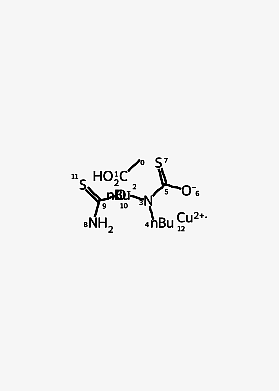 CC(=O)O.CCCCN(CCCC)C([O-])=S.NC([O-])=S.[Cu+2]